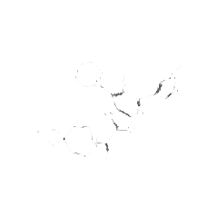 Cn1cc(-c2nc3[nH]c(C(=O)N4CCC5(CC4)COC5)nc3c(N3CCOCC3)c2F)cn1